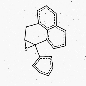 c1ccc(C23SC2Cc2cccc4cccc3c24)cc1